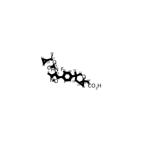 Cc1noc(-c2ccc(C3(C)COC4(CC(=O)O)CC4C3)cc2F)c1NC(=O)O[C@H](C)C1CC1